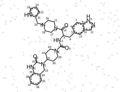 O=C(NC(Cc1ccc2[nH]ncc2c1)C(=O)N1CCN(Cc2ccc[nH]2)CC1)N1CCC(N2Cc3ccccc3NC2=O)CC1